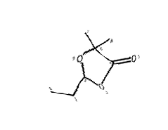 CCC1OC(=O)C(C)(C)O1